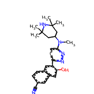 CN(c1ccc(-c2cc3ccc(C#N)cc3cc2O)nn1)C1CC(C)(C)NC(C)(C)C1